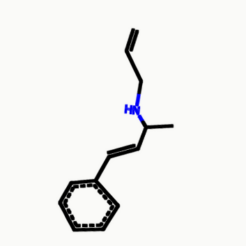 C=CCNC(C)C=Cc1ccccc1